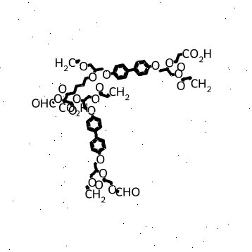 C=COCC(COc1ccc(-c2ccc(OCC(COC(=O)C=C)OC(=O)CC(=O)O)cc2)cc1)OCCCCC(=O)C(OC=O)(C(=O)O)C(=O)OC(COC(=O)C=C)COc1ccc(-c2ccc(OCC(COC=C)OC(=O)COC=O)cc2)cc1